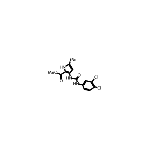 COC(=O)c1[nH]c(C(C)(C)C)cc1NC(=O)Nc1ccc(Cl)c(Cl)c1